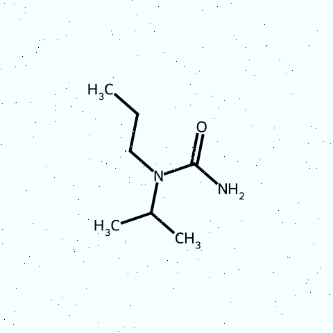 CC[CH]N(C(N)=O)C(C)C